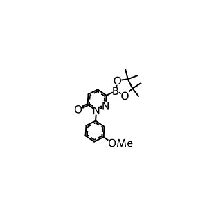 COc1cccc(-n2nc(B3OC(C)(C)C(C)(C)O3)ccc2=O)c1